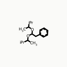 CC(C)C(C)OC(Cc1ccccc1)OC(C)C(C)C